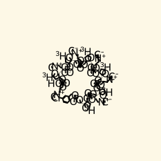 [3H][C@H]1CC(OP(=O)(O)OCC[N+]#[C-])[C@@H](COP(=O)(OCC[N+]#[C-])OC2C[C@H]([3H])O[C@@H]2COP(=O)(OCC[N+]#[C-])OC2C[C@H]([3H])O[C@@H]2COP(=O)(OCC[N+]#[C-])OC2C[C@H]([3H])O[C@@H]2COP(=O)(OCC[N+]#[C-])OC2C[C@H]([3H])O[C@@H]2COP(=O)(OCC[N+]#[C-])OC2C[C@H]([3H])O[C@@H]2COP2OCc3cc(Cl)ccc3O2)O1